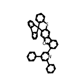 c1ccc(-c2cc(-c3ccccc3)nc(-c3cccc4c3oc3cc5c(cc34)Sc3ccccc3C53c4ccccc4-c4ccccc43)c2)cc1